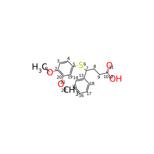 COc1ccc(SC(CCC(=O)O)c2ccccc2)cc1OC